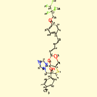 CC(SC1COC(C=CC=Cc2ccc(OCC(F)(F)C(F)F)cc2)OC1)C(O)(Cn1cncn1)c1ccc(C(F)(F)F)cc1